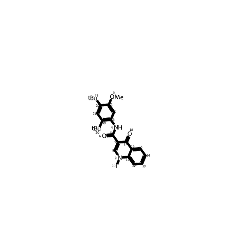 COc1cc(NC(=O)c2cn(I)c3ccccc3c2=O)c(C(C)(C)C)cc1C(C)(C)C